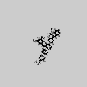 CN1CCN(C2CCN(C(=O)C(CC(=O)N3CCC(N4Cc5ccccc5NC4=O)CC3)Cc3cc(Br)cc(Br)c3)CC2)CC1